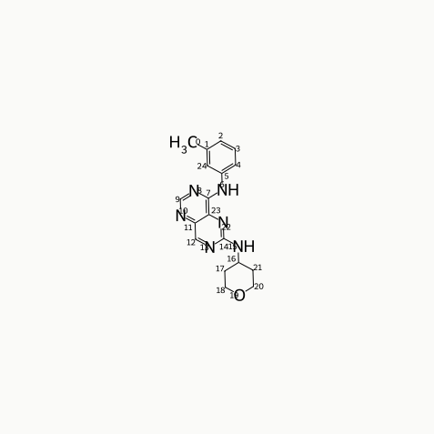 Cc1cccc(Nc2ncnc3cnc(NC4CCOCC4)nc23)c1